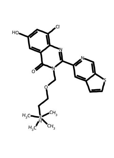 C[SH](C)(C)(C)CCOCn1c(-c2cc3ccsc3cn2)nc2c(Cl)cc(O)cc2c1=O